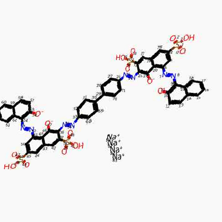 O=S(=O)(O)c1cc(N=Nc2c([O-])ccc3ccccc23)c2c([O-])c(N=Nc3ccc(-c4ccc(N=Nc5c(S(=O)(=O)O)cc6cc(S(=O)(=O)O)cc(N=Nc7c([O-])ccc8ccccc78)c6c5[O-])cc4)cc3)c(S(=O)(=O)O)cc2c1.[Na+].[Na+].[Na+].[Na+]